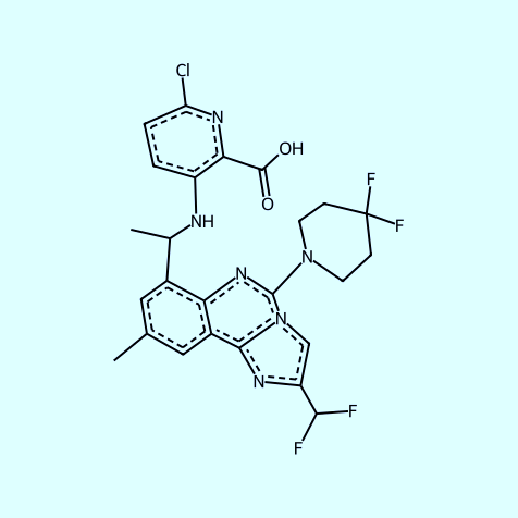 Cc1cc(C(C)Nc2ccc(Cl)nc2C(=O)O)c2nc(N3CCC(F)(F)CC3)n3cc(C(F)F)nc3c2c1